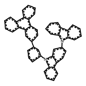 c1cc(-c2ccc3c4ccccc4c4ccccc4c3c2)cc(-n2c3ccccc3c3ccc(-n4c5ccccc5c5ccccc54)cc32)c1